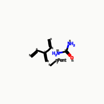 C=CC(=C)C=C.CCCCCC.NC(N)=O